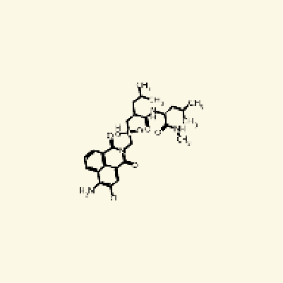 CNC(=O)[C@H](CC(C)C)NC(=O)C(CC(C)C)CP(=O)(O)CN1C(=O)c2cccc3c(N)c(Cl)cc(c23)C1=O